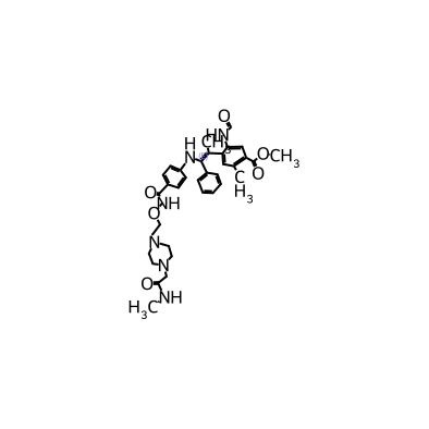 CNC(=O)CN1CCN(CCONC(=O)c2ccc(N/C(=C(\C)c3cc(C)c(C(=O)OC)cc3NC=O)c3ccccc3)cc2)CC1